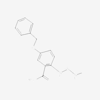 COC(=O)c1cc(OCc2ccccc2)ccc1NNNCl